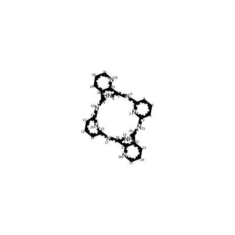 c1cc2nc(c1)nc1[nH]c(nc3cccc(n3)nc3[nH]c(n2)c2cccnc32)c2cccnc12